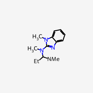 CCC(NC)N(C)c1nc2ccccc2n1C